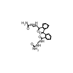 NC(=O)NCNC(=O)c1ccccc1C(=O)c1ccccc1C(=O)NCNC(N)=O